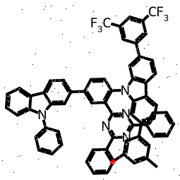 Cc1cc(C)cc(-c2ccc3c4ccc(-c5cc(C(F)(F)F)cc(C(F)(F)F)c5)cc4n(-c4ccc(-c5ccc6c7ccccc7n(-c7ccccc7)c6c5)cc4-c4nc(-c5ccccc5)nc(-c5ccccc5)n4)c3c2)c1